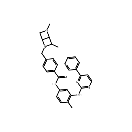 Cc1ccc(NC(=O)c2ccc(CN3C(C)C4C3CN4C)cc2)cc1Nc1nccc(-c2cccnc2)n1